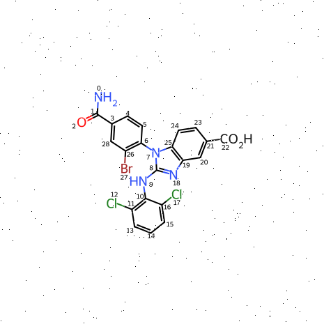 NC(=O)c1ccc(-n2c(Nc3c(Cl)cccc3Cl)nc3cc(C(=O)O)ccc32)c(Br)c1